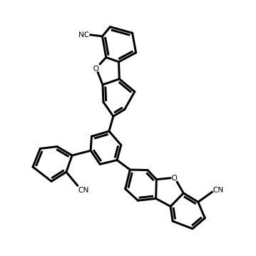 N#Cc1ccccc1-c1cc(-c2ccc3c(c2)oc2c(C#N)cccc23)cc(-c2ccc3c(c2)oc2c(C#N)cccc23)c1